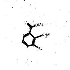 CCc1cccc(C(=O)OC)c1NC